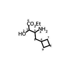 CCOC(=O)C(O)C(N)CC1CCC1